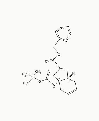 CC(C)(C)OC(=O)N[C@@]12CC=CC[C@H]1CN(C(=O)OCc1ccccc1)C2